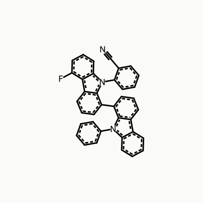 N#Cc1ccccc1-n1c2cccc(F)c2c2cccc(-c3cccc4c5ccccc5n(-c5ccccc5)c34)c21